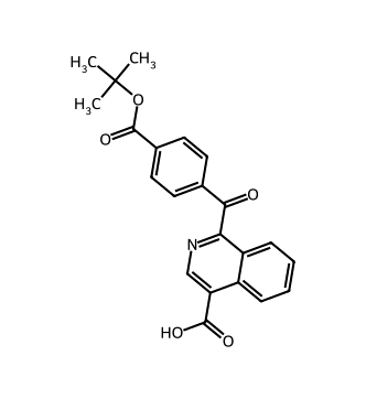 CC(C)(C)OC(=O)c1ccc(C(=O)c2ncc(C(=O)O)c3ccccc23)cc1